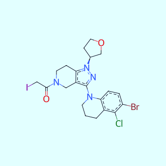 O=C(CI)N1CCc2c(c(N3CCCc4c3ccc(Br)c4Cl)nn2[C@H]2CCOC2)C1